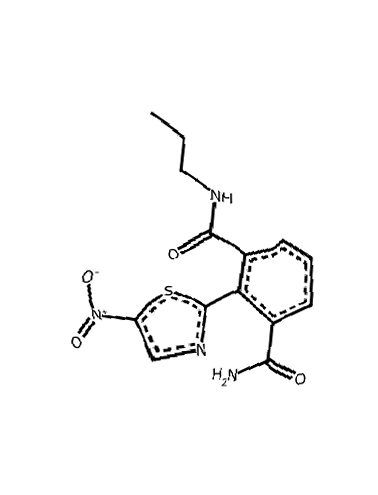 CCCNC(=O)c1cccc(C(N)=O)c1-c1ncc([N+](=O)[O-])s1